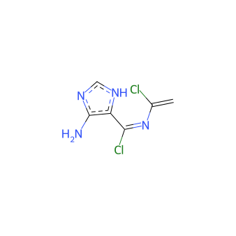 C=C(Cl)/N=C(/Cl)c1[nH]cnc1N